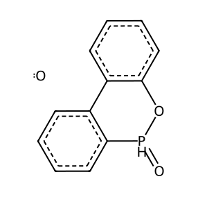 O=[PH]1Oc2ccccc2-c2ccccc21.[O]